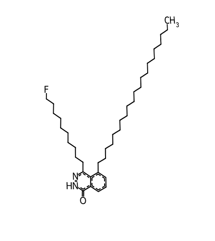 CCCCCCCCCCCCCCCCCCCCCc1cccc2c(=O)[nH]nc(CCCCCCCCCCF)c12